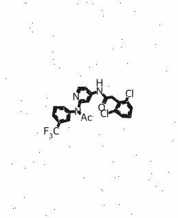 CC(=O)N(c1cccc(C(F)(F)F)c1)c1cc(NC(=O)Cc2c(Cl)cccc2Cl)ccn1